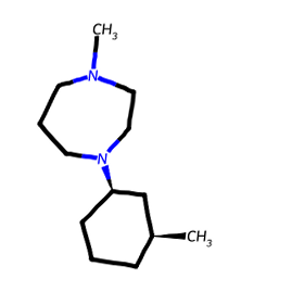 C[C@H]1CCC[C@@H](N2CCCN(C)CC2)C1